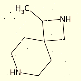 CC1NCC12CCNCC2